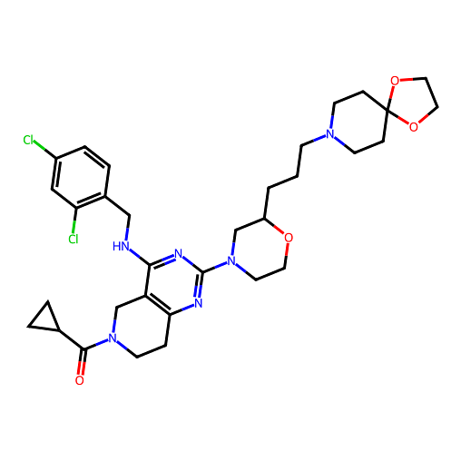 O=C(C1CC1)N1CCc2nc(N3CCOC(CCCN4CCC5(CC4)OCCO5)C3)nc(NCc3ccc(Cl)cc3Cl)c2C1